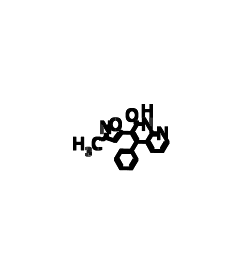 Cc1cc(-c2c(-c3ccccc3)c3cccnc3[nH]c2=O)on1